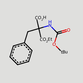 CCOC(=O)C(Cc1ccccc1)(NC(=O)OC(C)(C)C)C(=O)O